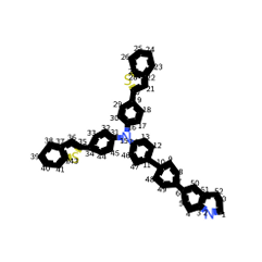 c1cnc2ccc(-c3ccc(-c4ccc(N(c5ccc(-c6cc7ccccc7s6)cc5)c5ccc(-c6cc7ccccc7s6)cc5)cc4)cc3)cc2c1